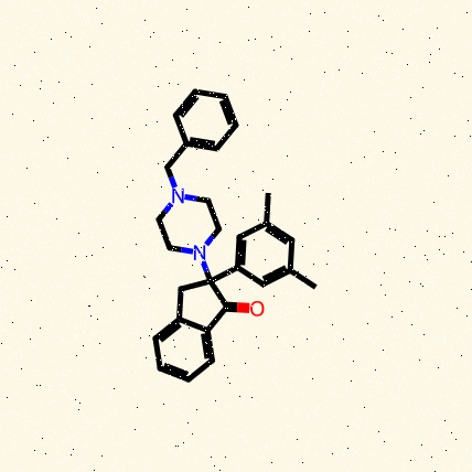 Cc1cc(C)cc(C2(N3CCN(Cc4ccccc4)CC3)Cc3ccccc3C2=O)c1